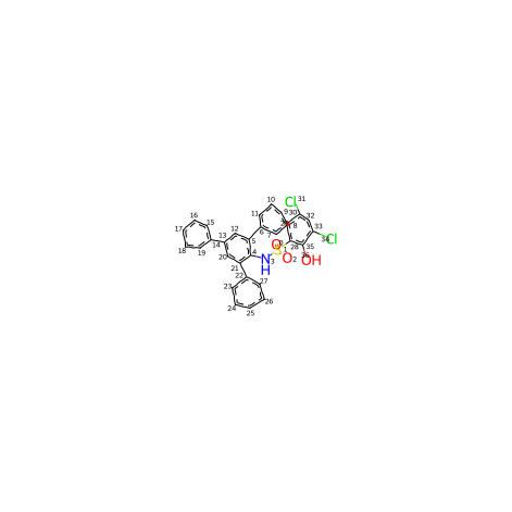 O=S(=O)(Nc1c(-c2ccccc2)cc(-c2ccccc2)cc1-c1ccccc1)c1cc(Cl)cc(Cl)c1O